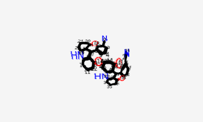 N#Cc1cccc(C2C3=C(CCCC3=O)NC3=C2C(=O)CCC3)c1.N#Cc1cccc(C2C3=C(CCCC3=O)NC3=C2C(=O)CCC3)c1